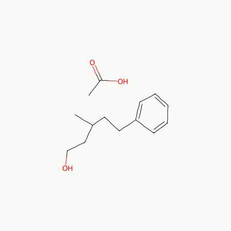 CC(=O)O.CC(CCO)CCc1ccccc1